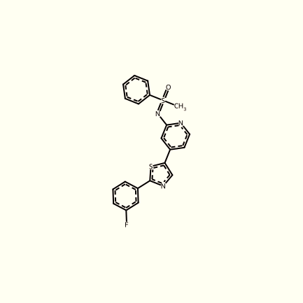 CS(=O)(=Nc1cc(-c2cnc(-c3cccc(F)c3)s2)ccn1)c1ccccc1